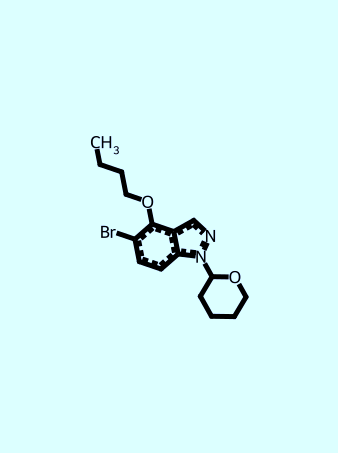 CCCCOc1c(Br)ccc2c1cnn2C1CCCCO1